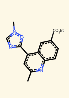 CCOC(=O)c1ccc2nc(C)cc(-c3ncn(C)n3)c2c1